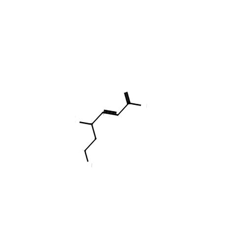 C=C(C)/C=C/C(C)CCC